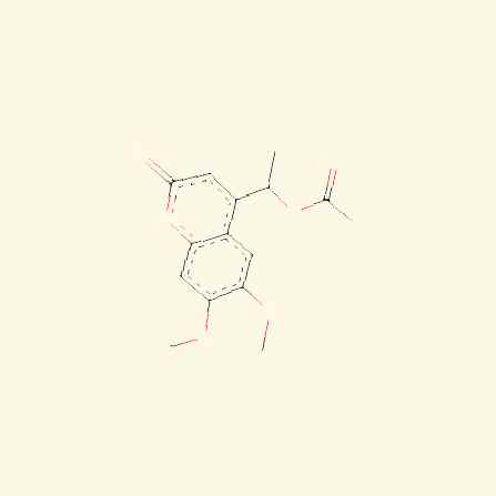 COc1cc2oc(=O)cc(C(C)OC(C)=O)c2cc1OC